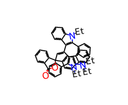 CCN(CC)c1ccc(C2(C=C(c3c(-c4ccccc4)n(CC)c4ccccc34)c3c(-c4ccccc4)n(CC)c4ccccc34)OC(=O)c3ccccc32)cc1